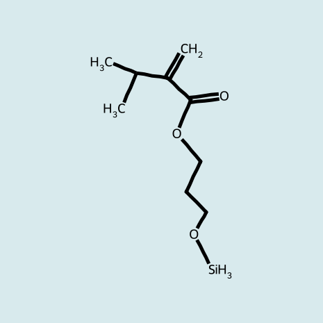 C=C(C(=O)OCCCO[SiH3])C(C)C